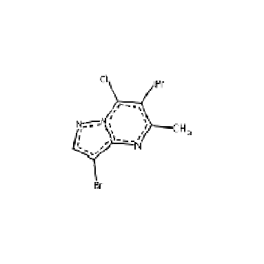 Cc1nc2c(Br)cnn2c(Cl)c1C(C)C